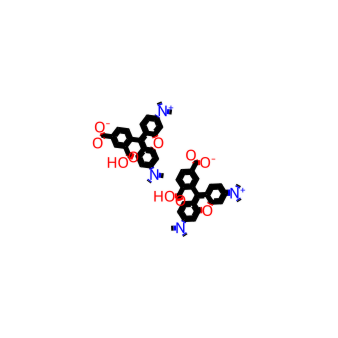 CN(C)c1ccc2c(-c3cc(C(=O)[O-])ccc3C(=O)O)c3ccc(=[N+](C)C)cc-3oc2c1.CN(C)c1ccc2c(-c3ccc(C(=O)[O-])cc3C(=O)O)c3ccc(=[N+](C)C)cc-3oc2c1